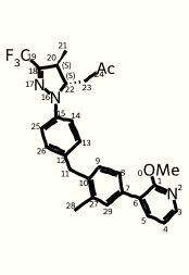 COc1ncccc1-c1ccc(Cc2ccc(N3N=C(C(F)(F)F)[C@@H](C)[C@@H]3CC(C)=O)cc2)c(C)c1